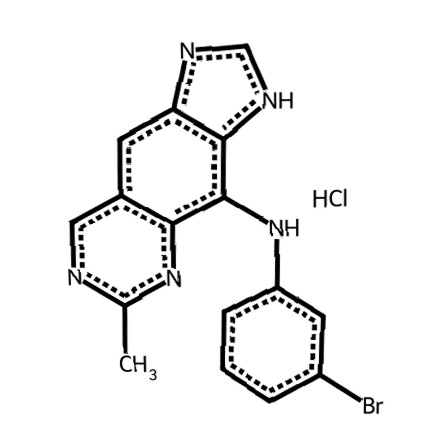 Cc1ncc2cc3nc[nH]c3c(Nc3cccc(Br)c3)c2n1.Cl